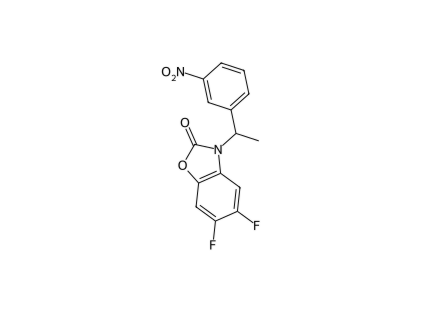 CC(c1cccc([N+](=O)[O-])c1)n1c(=O)oc2cc(F)c(F)cc21